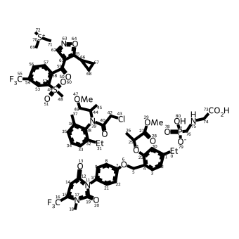 CCc1ccc(COc2ccc(-n3c(=O)cc(C(F)(F)F)n(C)c3=O)cc2)c(OC(C)C(=O)OC)c1.CCc1cccc(C)c1N(C(=O)CCl)C(C)COC.CS(=O)(=O)c1cc(C(F)(F)F)ccc1C(=O)c1cnoc1C1CC1.C[S+](C)C.O=C(O)CNCP(=O)([O-])O